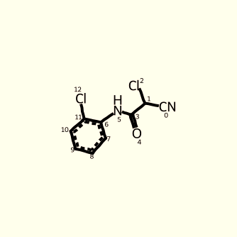 N#CC(Cl)C(=O)Nc1ccccc1Cl